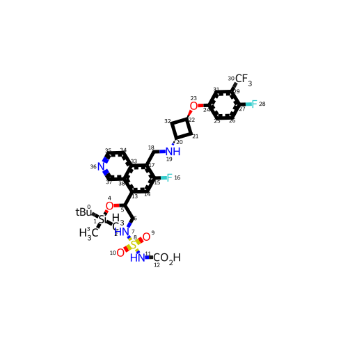 CC(C)(C)[Si](C)(C)OC(CNS(=O)(=O)NC(=O)O)c1cc(F)c(CN[C@H]2C[C@H](Oc3ccc(F)c(C(F)(F)F)c3)C2)c2ccncc12